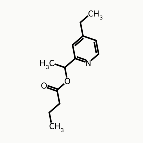 CCCC(=O)OC(C)c1cc(CC)ccn1